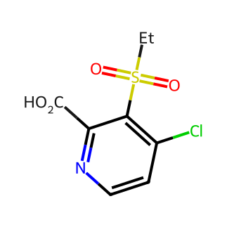 CCS(=O)(=O)c1c(Cl)ccnc1C(=O)O